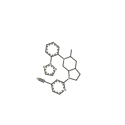 CC1CC2CCN(c3cc(C#N)ccn3)C2CN1c1ccccc1-n1nccn1